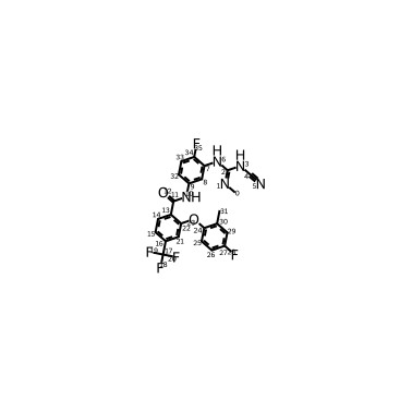 CN=C(NC#N)Nc1cc(NC(=O)c2ccc(C(F)(F)F)cc2Oc2ccc(F)cc2C)ccc1F